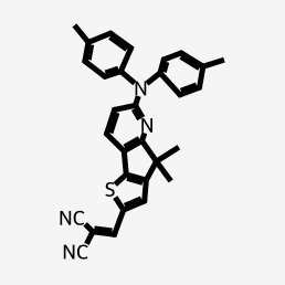 Cc1ccc(N(c2ccc(C)cc2)c2ccc3c(n2)C(C)(C)c2cc(C=C(C#N)C#N)sc2-3)cc1